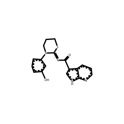 O=C(/N=C1\SCCCN1c1cccc(O)c1)c1c[nH]c2ncccc12